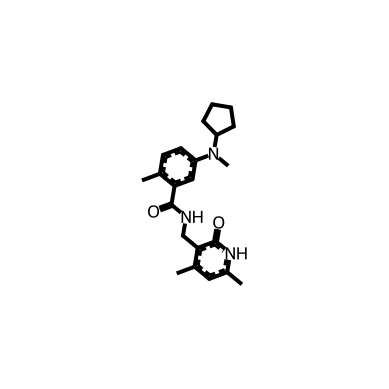 Cc1cc(C)c(CNC(=O)c2cc(N(C)C3CCCC3)ccc2C)c(=O)[nH]1